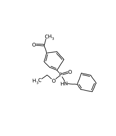 CCOP(=O)(Nc1ccccc1)c1ccc(C(C)=O)cc1